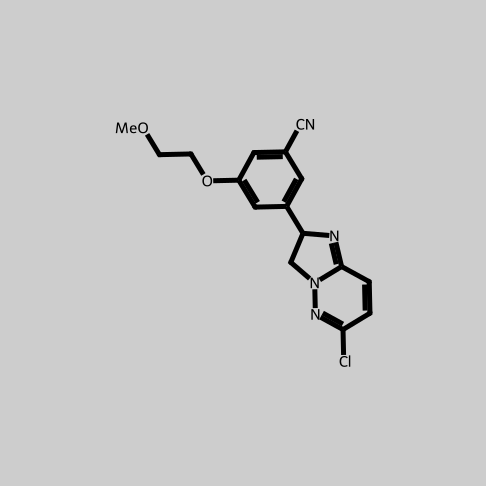 COCCOc1cc(C#N)cc(C2CN3N=C(Cl)C=CC3=N2)c1